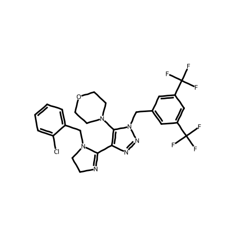 FC(F)(F)c1cc(Cn2nnc(C3=NCCN3Cc3ccccc3Cl)c2N2CCOCC2)cc(C(F)(F)F)c1